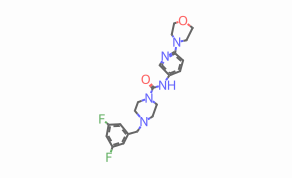 O=C(Nc1ccc(N2CCOCC2)nc1)N1CCN(Cc2cc(F)cc(F)c2)CC1